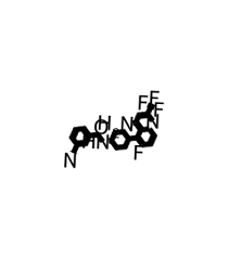 N#Cc1cccc(C(=O)NC2CCC(c3c(F)ccc4nc(C(F)(F)F)cc(N)c34)CC2)c1